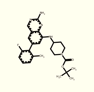 Cc1cccc(F)c1-c1cc(NC2CCN(C(=O)OC(C)(C)C)CC2)c2nc(N)ncc2c1